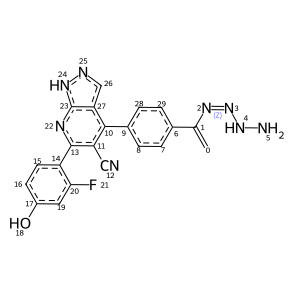 C=C(/N=N\NN)c1ccc(-c2c(C#N)c(-c3ccc(O)cc3F)nc3[nH]ncc23)cc1